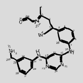 CC(CC(Br)c1cccc(Nc2cc(Nc3cccc(CN)c3)ncn2)c1)=NC=O